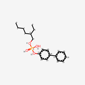 CCCCC(CC)COP(=O)(O)Oc1ccc(-c2ccccc2)cc1